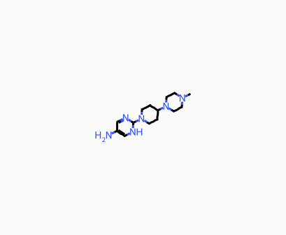 CN1CCN(C2CCN(C3N=CC(N)=CN3)CC2)CC1